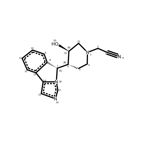 N#CCN1CC[C@H]([C@H]2c3ccccc3-c3cncn32)[C@@H](O)C1